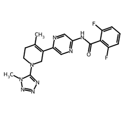 CC1=C(c2cnc(NC(=O)c3c(F)cccc3F)cn2)CN(c2nnnn2C)CC1